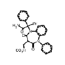 CC(C)C(C(N)=O)(c1ccccc1)N1C(=O)C(CC(=O)O)C(=O)N(c2ccccc2)c2ccccc21